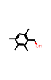 Cc1cc(C)c(CO)c(C)c1C